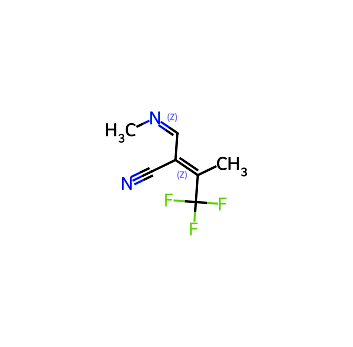 C/N=C\C(C#N)=C(/C)C(F)(F)F